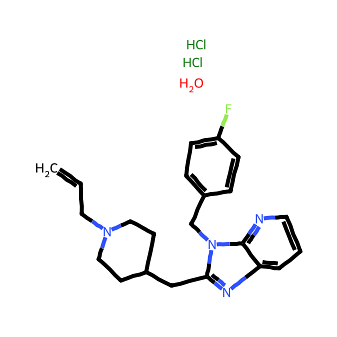 C=CCN1CCC(Cc2nc3cccnc3n2Cc2ccc(F)cc2)CC1.Cl.Cl.O